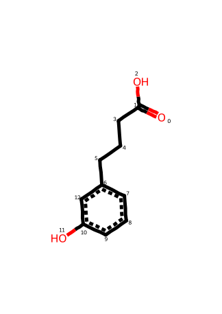 O=C(O)CCCc1cccc(O)c1